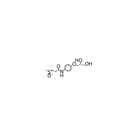 C[S+]([O-])CCC(=O)Nc1ccc(OCC(O)CO)cc1